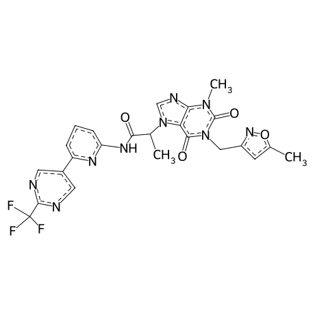 Cc1cc(Cn2c(=O)c3c(ncn3C(C)C(=O)Nc3cccc(-c4cnc(C(F)(F)F)nc4)n3)n(C)c2=O)no1